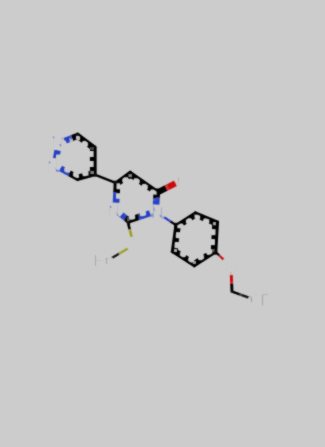 CCSc1nc(-c2ccnnc2)cc(=O)n1-c1ccc(OCC(F)(F)F)cc1